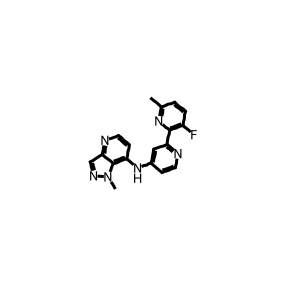 Cc1ccc(F)c(-c2cc(Nc3ccnc4cnn(C)c34)ccn2)n1